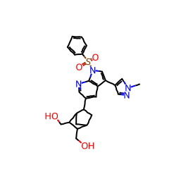 Cn1cc(-c2cn(S(=O)(=O)c3ccccc3)c3ncc(C4CC5CC4C(CO)C5CO)cc23)cn1